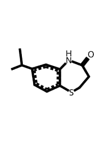 CC(C)c1ccc2c(c1)NC(=O)CCS2